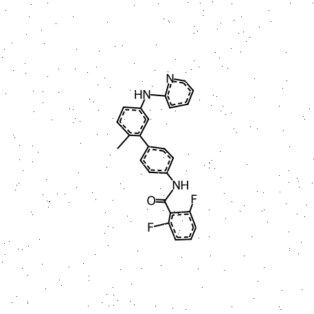 Cc1ccc(Nc2ccccn2)cc1-c1ccc(NC(=O)c2c(F)cccc2F)cc1